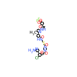 Cc1ccc(NC(=O)C2(c3ccc4c(c3)OC(F)(F)O4)CC2)nc1-c1cccc(C(=O)NCCSCC(=O)N2CCN(C(=O)[C@H]3Cc4cc(Cl)cc(-c5ccnc(N)c5)c4O3)CC2)c1